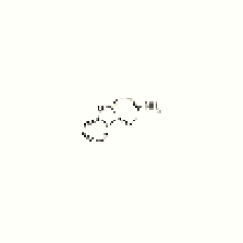 NC1=CC=c2oc3ccccc3c2=CC1